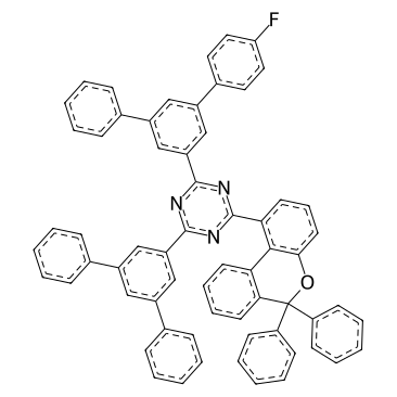 Fc1ccc(-c2cc(-c3ccccc3)cc(-c3nc(-c4cc(-c5ccccc5)cc(-c5ccccc5)c4)nc(-c4cccc5c4-c4ccccc4C(c4ccccc4)(c4ccccc4)O5)n3)c2)cc1